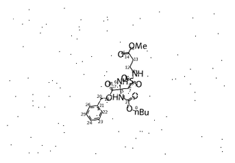 CCCCOC(=O)N[C@@](N)(CS(=O)(=O)NCCC(=O)OC)C(=O)OCc1ccccc1